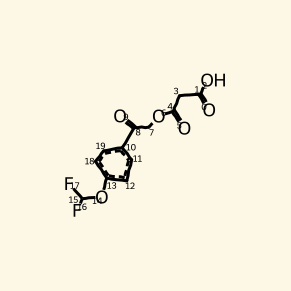 O=C(O)CC(=O)OCC(=O)c1ccc(OC(F)F)cc1